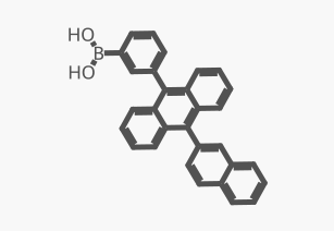 OB(O)c1cccc(-c2c3ccccc3c(-c3ccc4ccccc4c3)c3ccccc23)c1